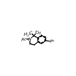 CC(=O)N1CCc2cc(C(C)C)ccc2C1(C)C